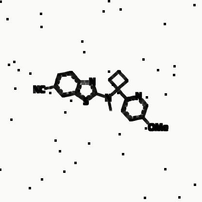 COc1ccc(C2(N(C)c3nc4ccc(C#N)cc4s3)CCC2)nc1